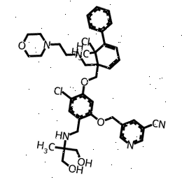 CC(CO)(CO)NCc1cc(Cl)c(OCC2(CNCCN3CCOCC3)C=CC=C(c3ccccc3)C2(C)Cl)cc1OCc1cncc(C#N)c1